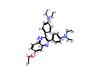 CCOc1ccc2nc(-c3ccc(N(CC)CC)cc3)c(-c3ccc(N(CC)CC)cc3)nc2c1